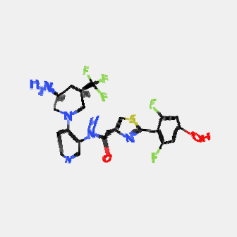 N[C@H]1C[C@@H](C(F)(F)F)CN(c2ccncc2NC(=O)c2csc(-c3c(F)cc(O)cc3F)n2)C1